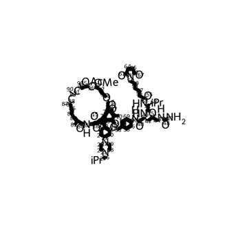 CO[C@H]1/C=C/O[C@@]2(C)Oc3c(C)c(O)c4c(=O)c(c5oc6cc(N7CCN(CC(C)C)CC7)cc(OCc7ccc(NC(=O)[C@H](CCCNC(N)=O)NC(=O)[C@@H](NC(=O)CCCCCN8C(=O)C=CC8=O)C(C)C)cc7)c6nc-5c4c3C2=O)NC(=O)/C(C)=C\C=C\[C@H](C)C[C@@H](C)C[C@@H](C)[C@H](OC(C)=O)C1